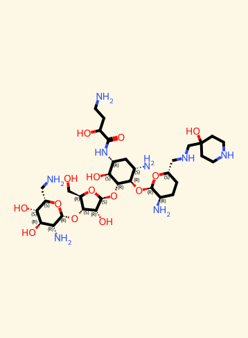 NCCC(O)C(=O)N[C@@H]1C[C@H](N)[C@@H](O[C@H]2O[C@H](CNCC3(O)CCNCC3)CC[C@H]2N)[C@H](O[C@@H]2O[C@H](CO)[C@@H](O[C@H]3O[C@@H](CN)[C@@H](O)[C@H](O)[C@H]3N)[C@H]2O)[C@H]1O